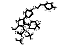 CCc1ncc(-c2ccc(OCCc3ccc(F)cc3)cn2)c(N2CCC(C)(C)CC2)c1[C@H](OC(C)(C)C)C(=O)OC(C)C